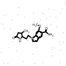 COc1cc2c(ccn2CCC2NC(=O)CC2C)cc1C(N)=O